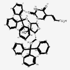 O=C(O)C=Cc1cn([C@@H]2O[C@H](COC(c3ccccc3)(c3ccccc3)c3ccccc3)[C@@H](O)[C@H]2OC(c2ccccc2)(c2ccccc2)c2ccccc2)c(=O)[nH]c1=O